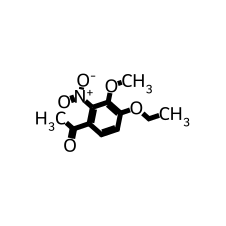 CCOc1ccc(C(C)=O)c([N+](=O)[O-])c1OC